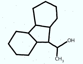 CC(O)C1C2CCCCC2C2CCCCC21